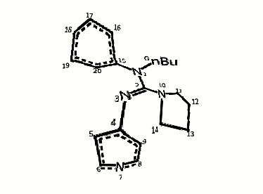 CCCCN(C(=Nc1ccncc1)N1CCCC1)c1ccccc1